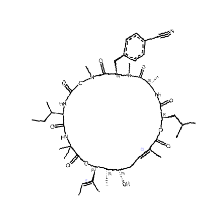 C/C=C(\C)[C@H]1OC(=O)C(C)(C)NC(=O)C(C(C)CC)NC(=O)CN(C)C(=O)[C@@H](Cc2ccc(C#N)cc2)N(C)C(=O)[C@H](C)NC(=O)[C@@H](CC(C)C)OC(=O)/C(C)=C/C[C@H](O)[C@@H]1C